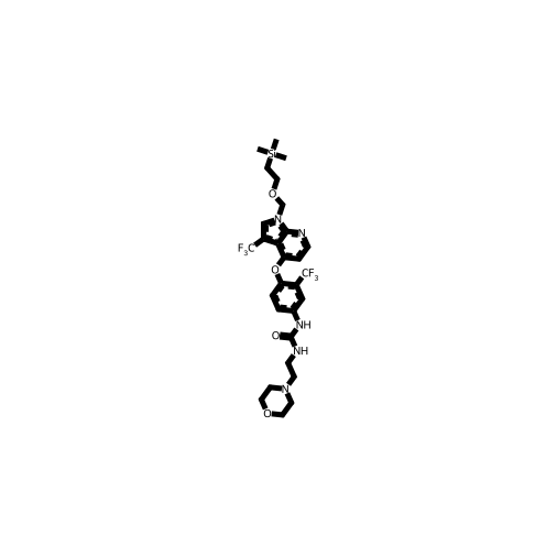 C[Si](C)(C)CCOCn1cc(C(F)(F)F)c2c(Oc3ccc(NC(=O)NCCN4CCOCC4)cc3C(F)(F)F)ccnc21